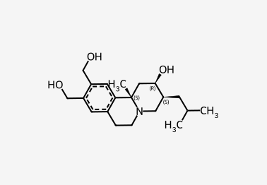 CC(C)C[C@H]1CN2CCc3cc(CO)c(CO)cc3[C@]2(C)C[C@H]1O